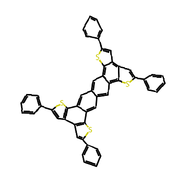 c1ccc(-c2cc3c4cc(-c5ccccc5)sc4c4cc5cc6c(cc5cc4c3s2)c2sc(-c3ccccc3)cc2c2cc(-c3ccccc3)sc26)cc1